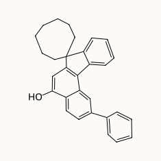 Oc1cc2c(c3cc(-c4ccccc4)ccc13)-c1ccccc1C21CCCCCCC1